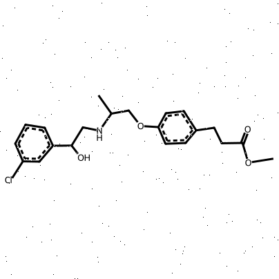 COC(=O)CCc1ccc(OCC(C)NCC(O)c2cccc(Cl)c2)cc1